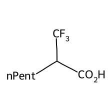 CCCCCC(C(=O)O)C(F)(F)F